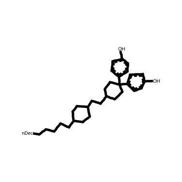 CCCCCCCCCCCCCCCC1CCC(CCC2CCC(c3ccc(O)cc3)(c3ccc(O)cc3)CC2)CC1